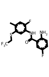 Cc1cc(F)c(NC(=O)c2cc(F)ccc2N)cc1SCC(F)(F)F